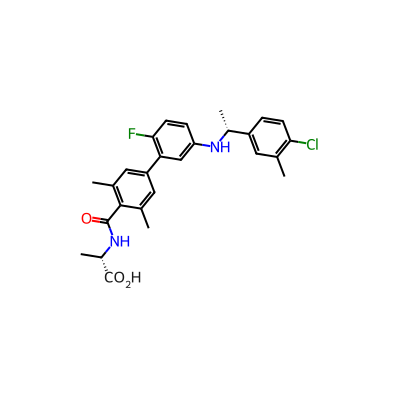 Cc1cc([C@@H](C)Nc2ccc(F)c(-c3cc(C)c(C(=O)N[C@@H](C)C(=O)O)c(C)c3)c2)ccc1Cl